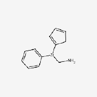 N[CH2][Zr]([C]1=CC=CC1)[c]1ccccc1